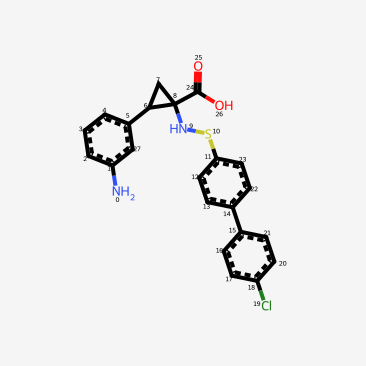 Nc1cccc(C2CC2(NSc2ccc(-c3ccc(Cl)cc3)cc2)C(=O)O)c1